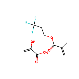 C=C(C)C(=O)OCCC(F)(F)F.C=C(O)C(=O)O